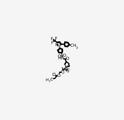 CCC(=O)OCON=[N+]([O-])N1CCC(C(=O)NS(=O)(=O)c2ccc(-n3nc(C(F)(F)F)cc3-c3ccc(C)cc3)cc2)C1